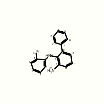 CC(C)c1ccccc1Nc1c(N)cccc1-c1ccccc1